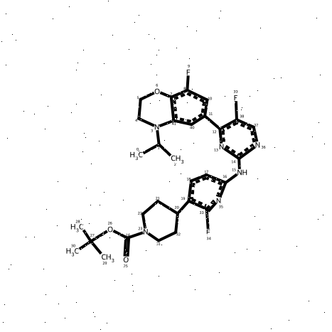 CC(C)N1CCOc2c(F)cc(-c3nc(Nc4ccc(C5CCN(C(=O)OC(C)(C)C)CC5)c(F)n4)ncc3F)cc21